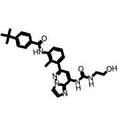 Cc1c(NC(=O)c2ccc(C(C)(C)C)cc2)cccc1-c1cc(NC(=O)NCCO)c2nccn2n1